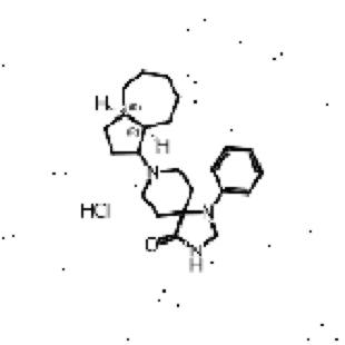 Cl.O=C1NCN(c2ccccc2)C12CCN(C1CC[C@H]3CCCCC[C@@H]13)CC2